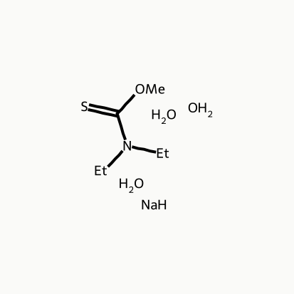 CCN(CC)C(=S)OC.O.O.O.[NaH]